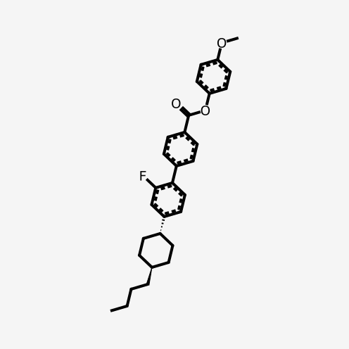 CCCC[C@H]1CC[C@H](c2ccc(-c3ccc(C(=O)Oc4ccc(OC)cc4)cc3)c(F)c2)CC1